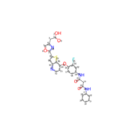 O=C(O)Cc1coc(-c2cc3nccc(Oc4ccc(NC(=O)CC(=O)Nc5ccccc5)cc4F)c3s2)n1